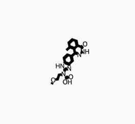 COCCN(C(=O)O)c1nc2cc(-c3n[nH]c(=O)c4cccc(C)c34)ccc2[nH]1